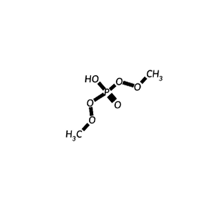 COOP(=O)(O)OOC